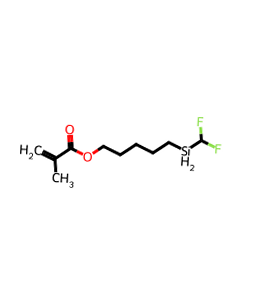 C=C(C)C(=O)OCCCCC[SiH2]C(F)F